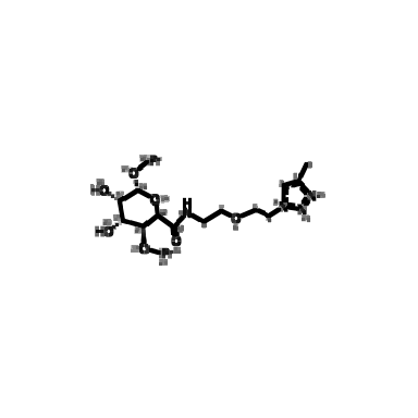 Cc1cn(CCOCCNC(=O)C2O[C@@H](OC(C)C)[C@@H](O)[C@@H](O)[C@@H]2OC(C)C)nn1